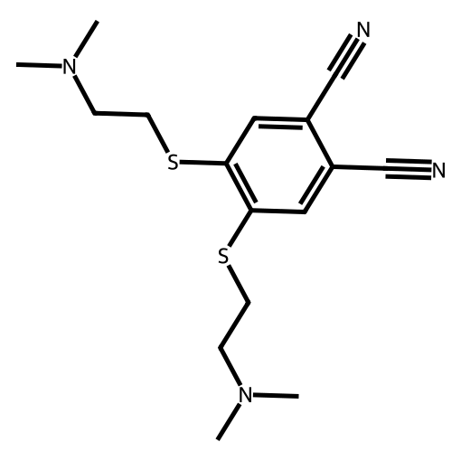 CN(C)CCSc1cc(C#N)c(C#N)cc1SCCN(C)C